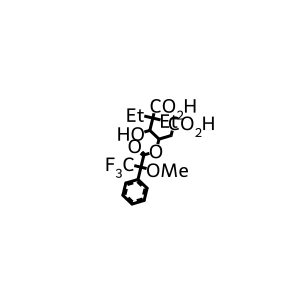 CCC(CC)(C(=O)O)C(O)C(CC(=O)O)OC(=O)C(OC)(c1ccccc1)C(F)(F)F